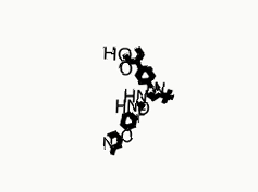 CCC(C(=O)O)c1ccc(-n2nc(C(C)(C)C)cc2NC(=O)Nc2ccc(Oc3ccnc(C)c3)cc2F)cc1